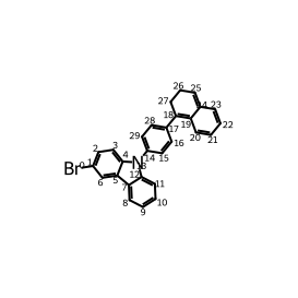 Brc1ccc2c(c1)c1ccccc1n2-c1ccc(C2=c3ccccc3=CCC2)cc1